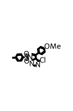 COc1ccc(C2=CN(S(=O)(=O)c3ccc(C)cc3)C3N=CN=C(Cl)C23)cc1